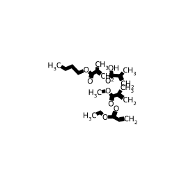 C=C(C)C(=O)O.C=C(C)C(=O)OC.C=C(C)C(=O)OCCCC.C=CC(=O)OCC